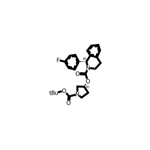 CC(C)(C)OC(=O)N1CC[C@@H](OC(=O)N2CCc3ccccc3[C@H]2c2ccc(F)cc2)C1